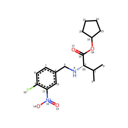 CC(C)[C@H](NCc1ccc(F)c([N+](=O)[O-])c1)C(=O)OC1CCCC1